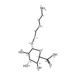 NCCOCCO[C@@H]1OC(C(=O)O)C(O)[C@H](O)C1O